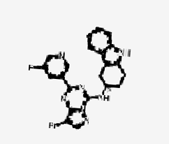 CC(C)c1cnn2c(N[C@@H]3CCc4[nH]c5ccccc5c4C3)nc(-c3cncc(F)c3)nc12